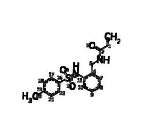 C=CC(=O)NCc1ccccc1NS(=O)(=O)c1ccc(C)cc1